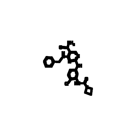 NC(=O)c1cnc(Nc2ccc(Cl)c(NC(=O)N3CCC3)c2)nc1NCc1ccccc1